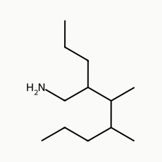 CCCC(C)C(C)C(CN)CCC